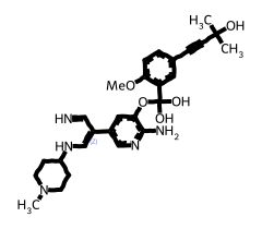 COc1ccc(C#CC(C)(C)O)cc1C(O)(O)Oc1cc(/C(C=N)=C/NC2CCN(C)CC2)cnc1N